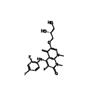 C=C1C(OC[C@H](O)CO)=CN(C)c2c1c(Nc1ccc(I)cc1F)c(F)c(=O)n2C